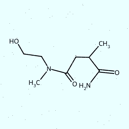 CC([CH]C(=O)N(C)CCO)C(N)=O